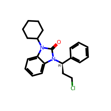 O=c1n(C2CCCCC2)c2ccccc2n1[C@H](CCCl)c1ccccc1